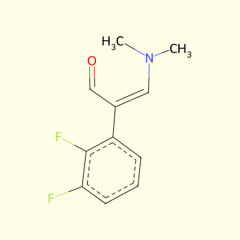 CN(C)C=C(C=O)c1cccc(F)c1F